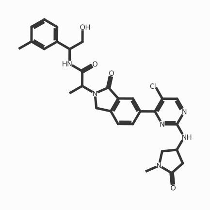 Cc1cccc(C(CO)NC(=O)C(C)N2Cc3ccc(-c4nc(NC5CC(=O)N(C)C5)ncc4Cl)cc3C2=O)c1